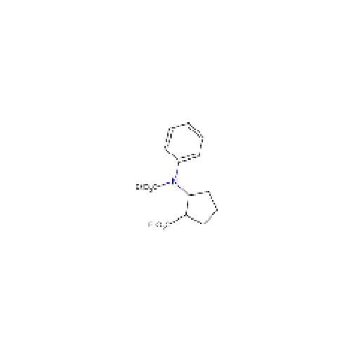 CCOC(=O)C1CCCC1N(C(=O)OCC)c1ccccc1